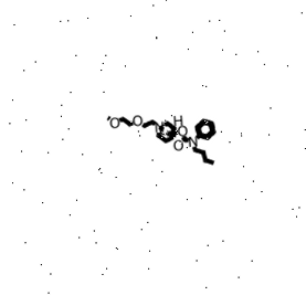 CCCCN(C(=O)O[C@H]1C[N+]2(CCOCCOC)CCC1CC2)c1ccccc1